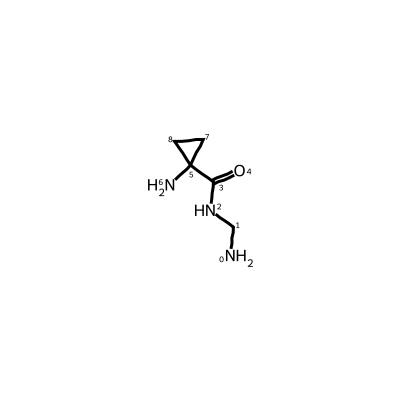 NCNC(=O)C1(N)CC1